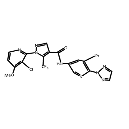 COc1ccnc(-n2ncc(C(=O)Nc3cnc(-n4nccn4)c(C(C)C)c3)c2C(F)(F)F)c1Cl